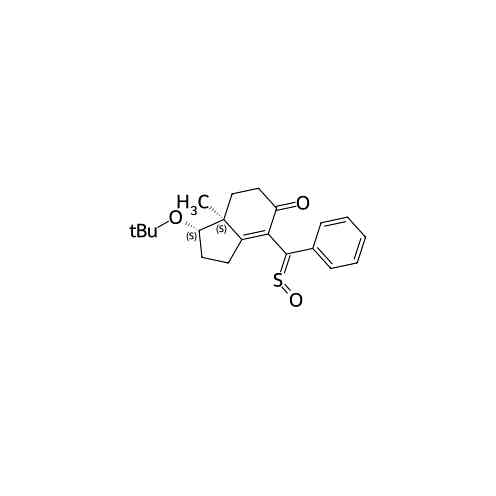 CC(C)(C)O[C@H]1CCC2=C(C(=S=O)c3ccccc3)C(=O)CC[C@@]21C